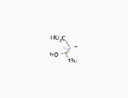 C/C(C(=O)O)=C(/O)C(C)(C)C